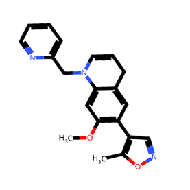 COc1cc2c(cc1-c1cnoc1C)CC=CN2Cc1ccccn1